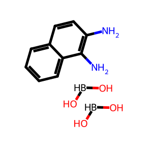 Nc1ccc2ccccc2c1N.OBO.OBO